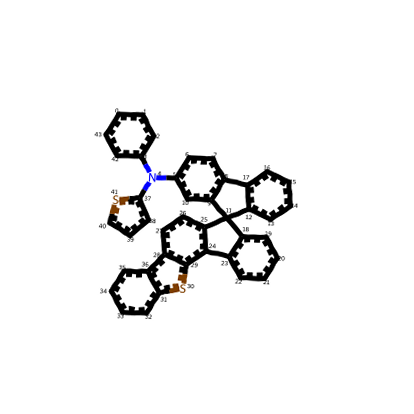 c1ccc(N(c2ccc3c(c2)C2(c4ccccc4-3)c3ccccc3-c3c2ccc2c3sc3ccccc32)c2cccs2)cc1